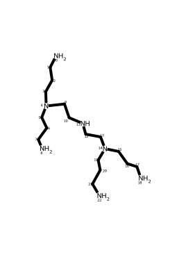 NCCCN(CCCN)CCNCCN(CCCN)CCCN